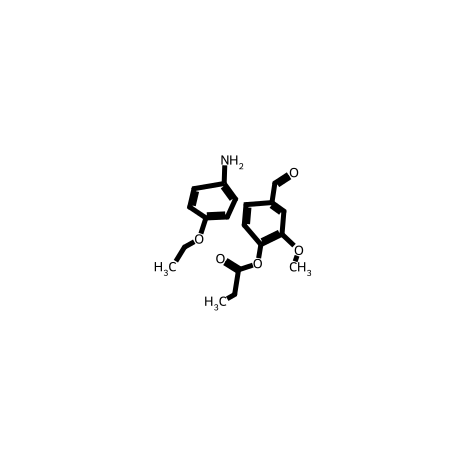 CCC(=O)Oc1ccc(C=O)cc1OC.CCOc1ccc(N)cc1